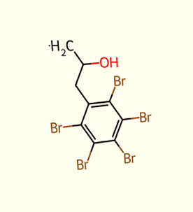 [CH2]C(O)Cc1c(Br)c(Br)c(Br)c(Br)c1Br